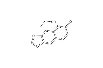 CCO.O=c1ccc2cc3ccoc3cc2o1